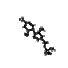 CO[C@H](C)CNc1nnc(-c2ccc(C(F)(F)F)cc2O)c(C)n1